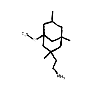 CC1CC2(C)CC(C)(CCN)CC(O[N+](=O)[O-])(C1)C2